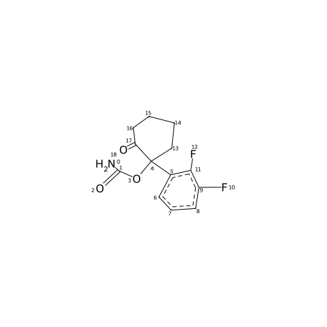 NC(=O)OC1(c2cccc(F)c2F)CCCCC1=O